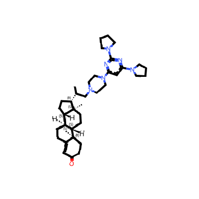 CC(CN1CCN(c2cc(N3CCCC3)nc(N3CCCC3)n2)CC1)[C@H]1CC[C@H]2[C@@H]3CCC4=CC(=O)CC[C@]4(C)[C@H]3CC[C@]12C